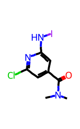 CN(C)C(=O)c1cc(Cl)nc(NI)c1